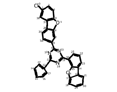 Clc1ccc2oc3cc(-c4nc(-c5ccccc5)nc(-c5cccc6c5oc5ccccc56)n4)ccc3c2c1